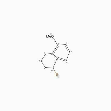 COc1cccc2c1CCCC2Br